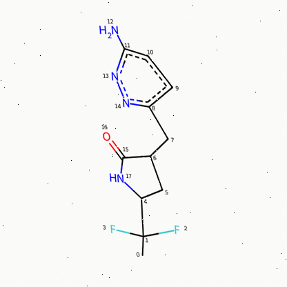 CC(F)(F)C1CC(Cc2ccc(N)nn2)C(=O)N1